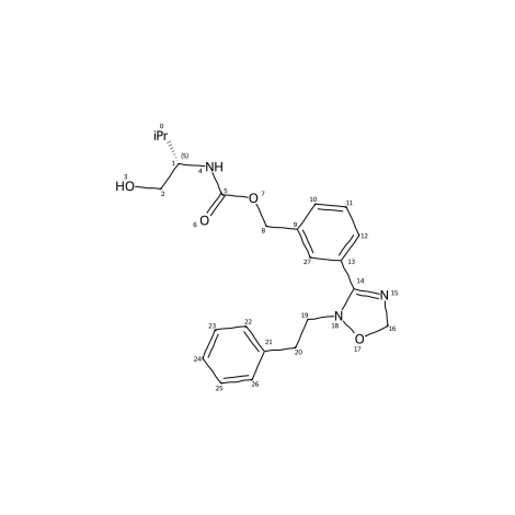 CC(C)[C@@H](CO)NC(=O)OCc1cccc(C2=NCON2CCc2ccccc2)c1